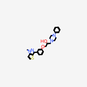 Cn1nc(-c2cccc(OC[C@H](O)CN3CCN(c4ccccc4)CC3)c2)c2sccc21